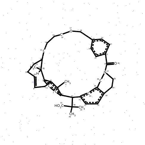 Cc1c2ccc3c1C/C=C/CCC(CCCCOCc1ccc(cc1)C(=O)N1CCc4ccc(cc4C1)C2C(C)(C)C(=O)O)[C@H]3C